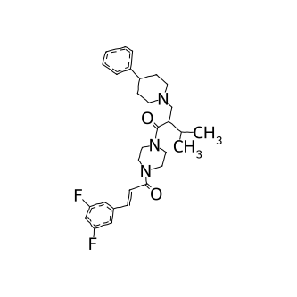 CC(C)C(CN1CCC(c2ccccc2)CC1)C(=O)N1CCN(C(=O)C=Cc2cc(F)cc(F)c2)CC1